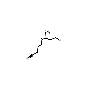 C#CCCCOC(C)CC[CH2]